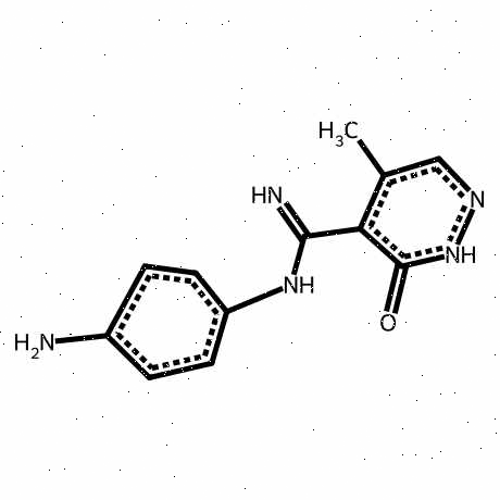 Cc1cn[nH]c(=O)c1C(=N)Nc1ccc(N)cc1